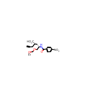 C#CC[C@@H](C[C@@H](COCOCC)NC(=O)c1ccc([N+](=O)[O-])cc1)C(=O)O